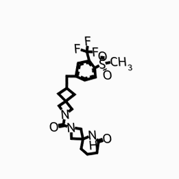 CS(=O)(=O)c1ccc(CC2CC3(C2)CN(C(=O)N2CC4(CCCC(=O)N4)C2)C3)cc1C(F)(F)F